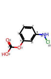 O=C(O)Oc1cccc(NCl)c1